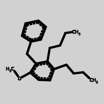 CCCCc1ccc(OC)c(Cc2ccccc2)c1CCCC